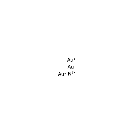 [Au+].[Au+].[Au+].[N-3]